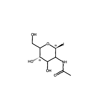 CC(=O)NC1C(O)[C@H](O)C(CO)O[C@H]1I